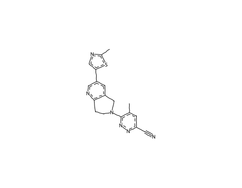 Cc1ncc(-c2cnc3c(c2)CN(c2nnc(C#N)cc2C)CC3)s1